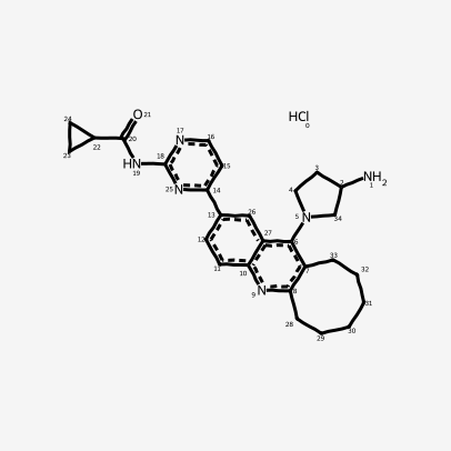 Cl.NC1CCN(c2c3c(nc4ccc(-c5ccnc(NC(=O)C6CC6)n5)cc24)CCCCCC3)C1